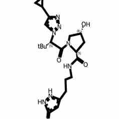 CC(C)(C)[C@@H](C(=O)N1C[C@H](O)C[C@H]1C(=O)NCCCc1cc(=O)[nH][nH]1)n1cc(C2CC2)nn1